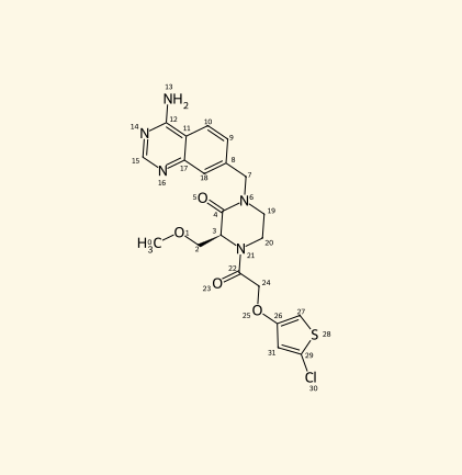 COC[C@H]1C(=O)N(Cc2ccc3c(N)ncnc3c2)CCN1C(=O)COc1csc(Cl)c1